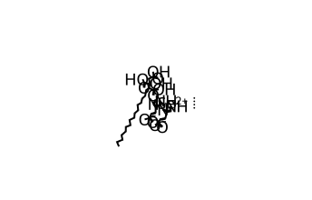 CCCCCCCCCCCCCCCCC(C(=O)O)C(O)(CC(=O)O)C(=O)O.O=C([O-])C=Cc1c[nH]cn1.O=C([O-])C=Cc1c[nH]cn1.[Se+2]